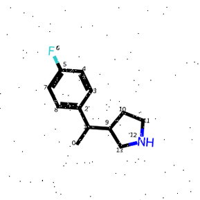 CC(c1ccc(F)cc1)C1CCNC1